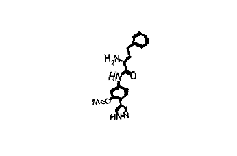 COc1cc(NC(=O)[C@H](N)CCc2ccccc2)ccc1-c1cn[nH]c1